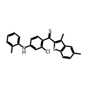 Cc1ccc2sc(C(=S)c3ccc(Nc4ccccc4C)cc3Cl)c(C)c2c1